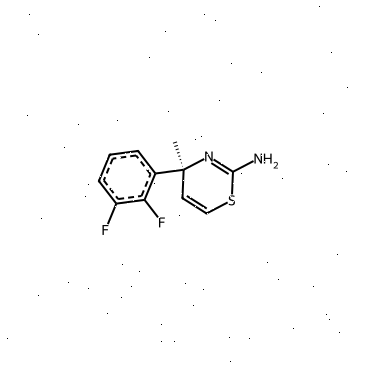 C[C@@]1(c2cccc(F)c2F)C=CSC(N)=N1